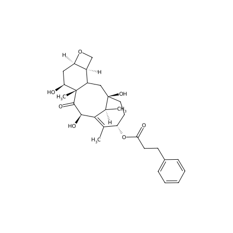 CC1=C2[C@@H](O)C(=O)[C@@]3(C)C(C[C@](O)(CC[C@@H]1OC(=O)CCc1ccccc1)[C@H]2C)[C@@H]1CO[C@@H]1C[C@@H]3O